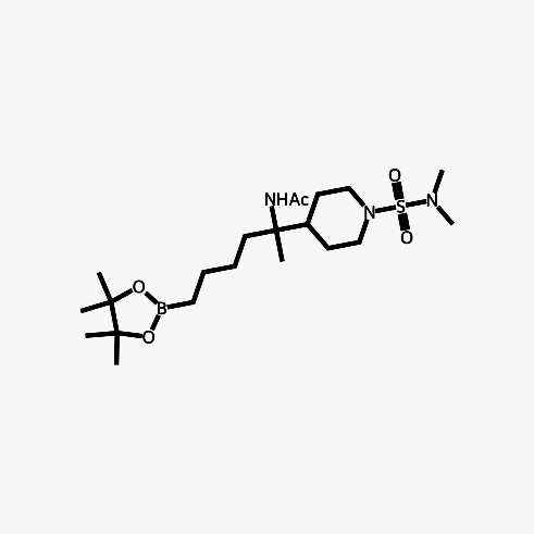 CC(=O)NC(C)(CCCCB1OC(C)(C)C(C)(C)O1)C1CCN(S(=O)(=O)N(C)C)CC1